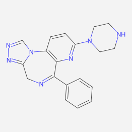 c1ccc(C2=NCc3nncn3-c3ccc(N4CCNCC4)nc32)cc1